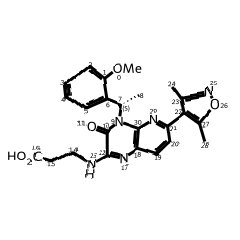 COc1ccccc1[C@H](C)n1c(=O)c(NCCC(=O)O)nc2ccc(-c3c(C)noc3C)nc21